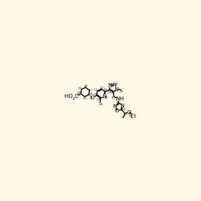 CCOC(C)c1nc(NCc2c(-c3ccc(O[C@H]4CCC[C@H](C(=O)O)C4)c(C)n3)nnn2C)no1